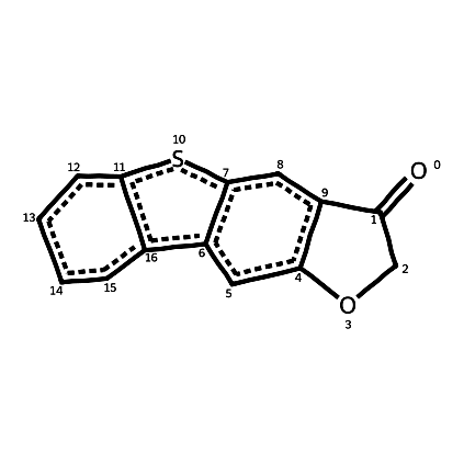 O=C1COc2cc3c(cc21)sc1ccccc13